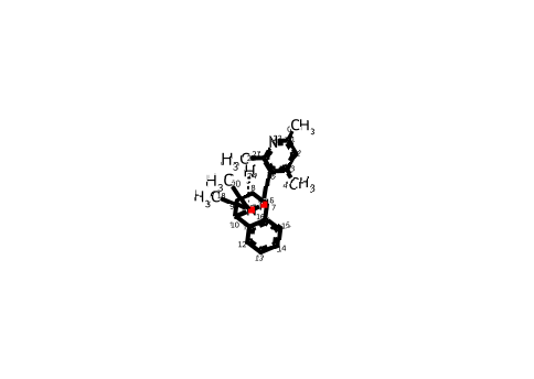 Cc1cc(C)c(N2C3CCC(c4ccccc43)N(C)[C@@H]2C)c(C)n1